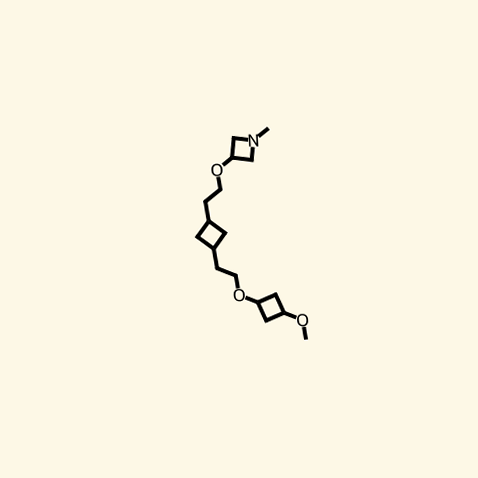 COC1CC(OCCC2CC(CCOC3CN(C)C3)C2)C1